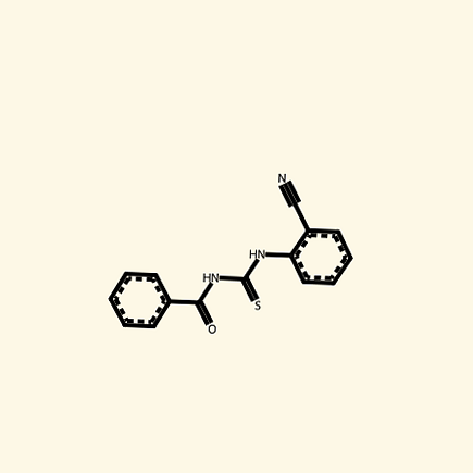 N#Cc1ccccc1NC(=S)NC(=O)c1ccccc1